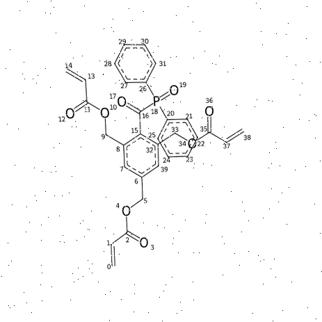 C=CC(=O)OCc1cc(COC(=O)C=C)c(C(=O)P(=O)(c2ccccc2)c2ccccc2)c(COC(=O)C=C)c1